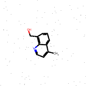 Cc1ccnc2c(CO)cccc12